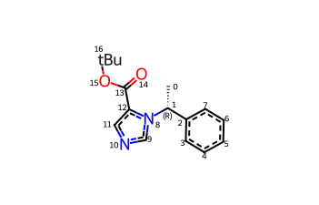 C[C@H](c1ccccc1)n1cncc1C(=O)OC(C)(C)C